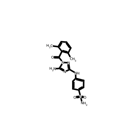 Cc1cccc(C)c1C(=O)n1nc(Nc2ccc(S(N)(=O)=O)cc2)nc1N